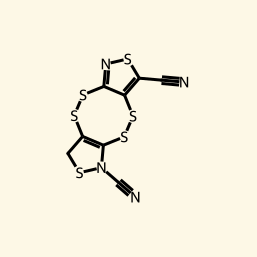 N#Cc1snc2c1SSC1=C(CSN1C#N)SS2